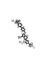 Cc1cc(C(N)=O)nn1-c1ccc2c(c1)c(Br)cn2Cc1ccc(-c2ccc(S(C)(=O)=O)cc2)cc1